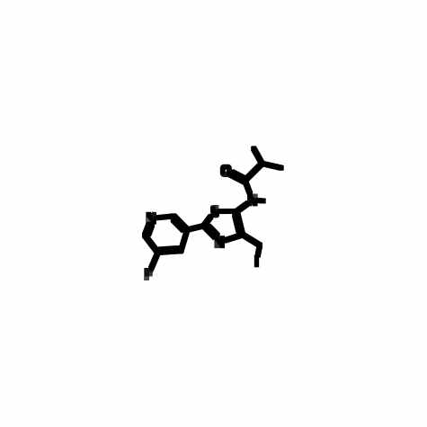 CC(C)C(=O)N(C)c1sc(-c2cncc(F)c2)nc1CI